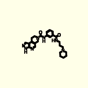 O=C(NCCCN1CCCCC1)c1cccc(NC(=O)N2CCc3c(cnc4[nH]ncc34)C2)c1